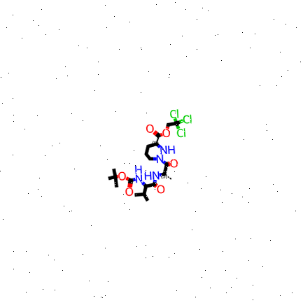 CC(C)C(NC(=O)OC(C)(C)C)C(=O)N[C@@H](C)C(=O)N1CCC[C@@H](C(=O)OCC(Cl)(Cl)Cl)N1